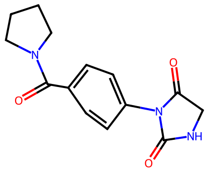 O=C(c1ccc(N2C(=O)CNC2=O)cc1)N1CCCC1